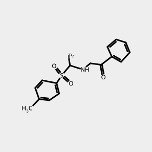 Cc1ccc(S(=O)(=O)C(NCC(=O)c2ccccc2)C(C)C)cc1